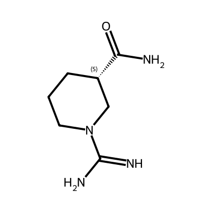 N=C(N)N1CCC[C@H](C(N)=O)C1